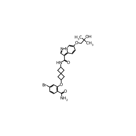 CC(C)(O)COc1ccc2c(C(=O)NC3CC4(C3)CC(Oc3cc(Br)ccc3C(N)=O)C4)cnn2c1